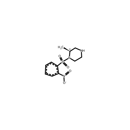 C[C@H]1CNCCN1S(=O)(=O)c1ccccc1[N+](=O)[O-]